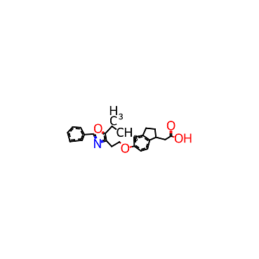 CC(C)c1oc(-c2ccccc2)nc1CCOc1ccc2c(c1)CCC2CC(=O)O